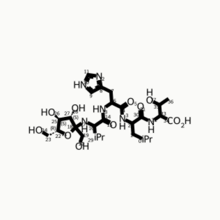 CC(C)CC(NC(=O)C(Cc1c[nH]cn1)NC(=O)C(NC1(CO)O[C@H](CO)[C@@H](O)[C@@H]1O)C(C)C)C(=O)NC(C(=O)O)C(C)O